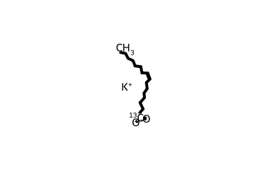 CCCCCCCC/C=C\CCCCCCC[13C](=O)[O-].[K+]